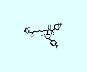 CN1CCC(C(=O)NC(CCCCCC(=O)c2ncco2)c2nc(-c3ccc(F)cc3)c[nH]2)CC1